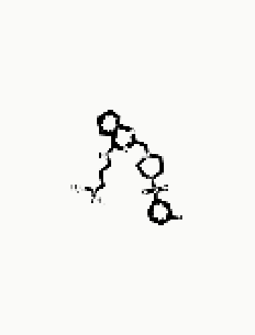 CN(C)CCCNc1nc(CN2CCN(S(=O)(=O)c3cccc(F)c3)CC2)nc2ccccc12